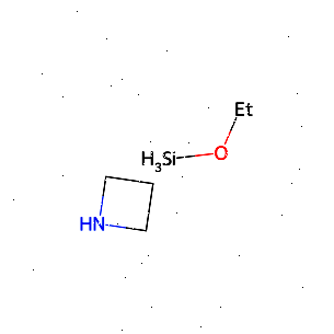 C1CNC1.CCO[SiH3]